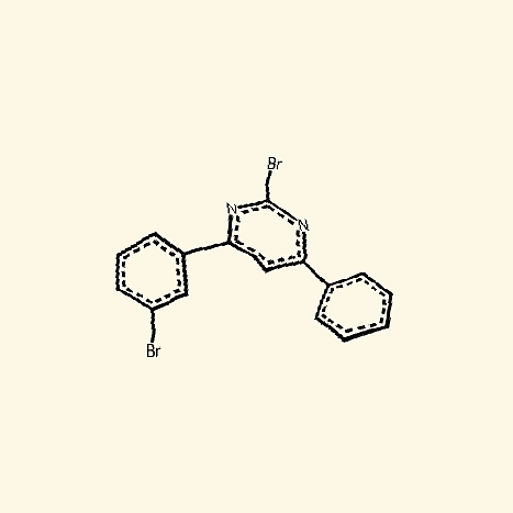 Brc1cccc(-c2cc(-c3ccccc3)nc(Br)n2)c1